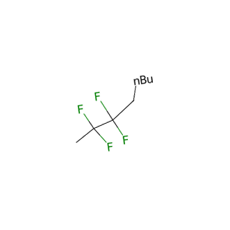 CCCCCC(F)(F)C(C)(F)F